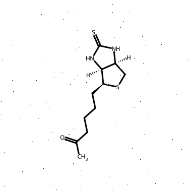 CC(=O)CCCC[C@@H]1SC[C@@H]2NC(=S)N[C@@H]21